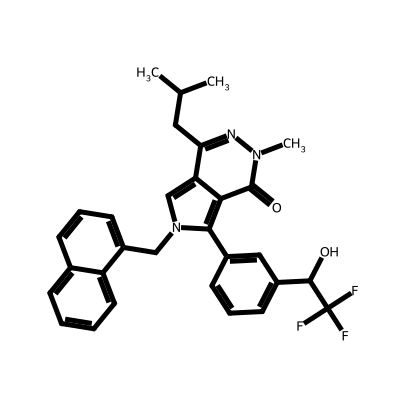 CC(C)Cc1nn(C)c(=O)c2c(-c3cccc(C(O)C(F)(F)F)c3)n(Cc3cccc4ccccc34)cc12